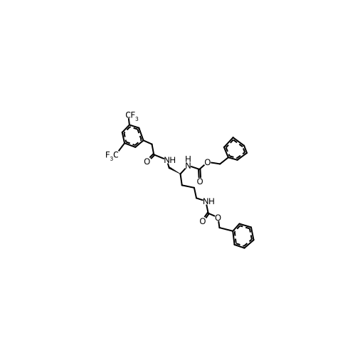 O=C(Cc1cc(C(F)(F)F)cc(C(F)(F)F)c1)NC[C@H](CCCNC(=O)OCc1ccccc1)NC(=O)OCc1ccccc1